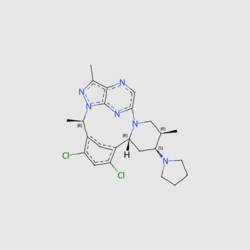 Cc1nn2c3nc(cnc13)N1C[C@@H](C)[C@@H](N3CCCC3)C[C@@H]1c1cc(c(Cl)cc1Cl)[C@H]2C